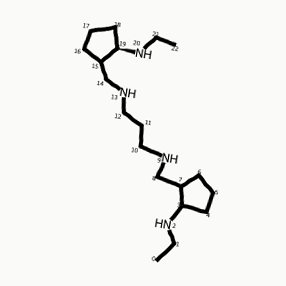 CCNC1CCCC1CNCCCNCC1CCC[C@H]1NCC